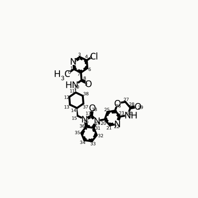 Cc1ncc(Cl)cc1C(=O)N[C@H]1CC[C@H](Cn2c(=O)n(-c3cnc4c(c3)OCC(=O)N4)c3ccccc32)CC1